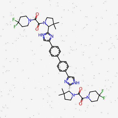 CC1(C)CCN(C(=O)C(=O)N2CCC(F)(F)CC2)C1c1nc(-c2ccc(-c3ccc(-c4c[nH]c([C@@H]5N(C(=O)C(=O)N6CCC(F)(F)CC6)CCC5(C)C)n4)cc3)cc2)c[nH]1